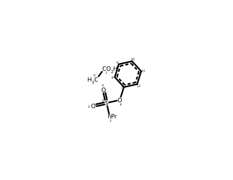 CC(=O)O.CCCS(=O)(=O)Oc1ccccc1